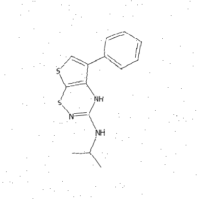 CC(C)NC1=NSc2scc(-c3ccccc3)c2N1